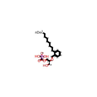 CCCCCCCCCCCCCCCCCCc1ccccc1CO[C@@H](CO)COC(=O)P(=O)(O)O